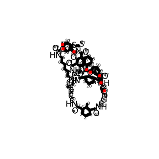 Cc1c2cccc1C(=O)NCCN1CCNC(=O)c3cccc(c3OCc3ccccc3)C(=O)NCCN(CCNC2=O)CCNC(=O)c2cccc(c2C)C(=O)NCCN(CC(CCCCNC(=O)OC(C)(C)C)NC(=O)c2cccc(C(=O)N3CCSC3=S)c2OCc2ccccc2)CC1